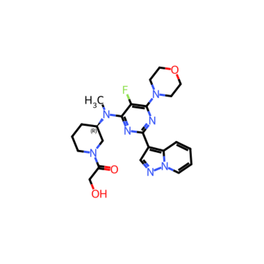 CN(c1nc(-c2cnn3ccccc23)nc(N2CCOCC2)c1F)[C@@H]1CCCN(C(=O)CO)C1